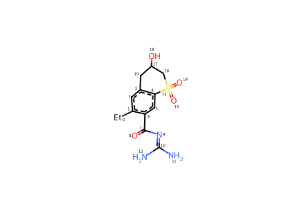 CCc1cc2c(cc1C(=O)N=C(N)N)S(=O)(=O)CC(O)C2